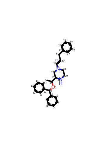 CC(OC(c1ccccc1)c1ccccc1)C1CN(/C=C/Cc2ccccc2)CCN1